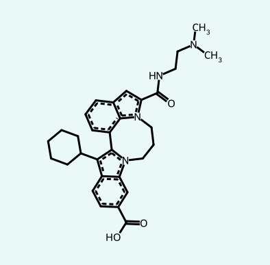 CN(C)CCNC(=O)c1cc2cccc3c2n1CCCn1c-3c(C2CCCCC2)c2ccc(C(=O)O)cc21